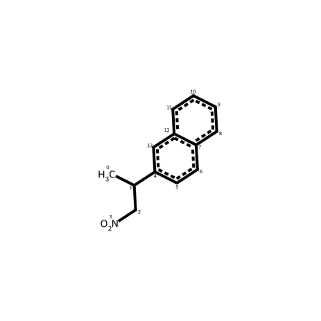 CC(C[N+](=O)[O-])c1ccc2ccccc2c1